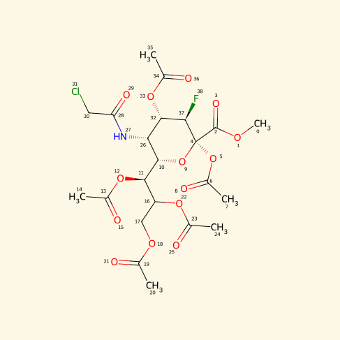 COC(=O)[C@@]1(OC(C)=O)O[C@H]([C@H](OC(C)=O)C(COC(C)=O)OC(C)=O)[C@H](NC(=O)CCl)[C@H](OC(C)=O)[C@H]1F